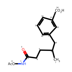 CC(=O)ONC(=O)CCC(C)Cc1cccc(C(=O)O)c1